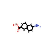 Nc1ccc2c(c1)CCC(C(=O)O)C2